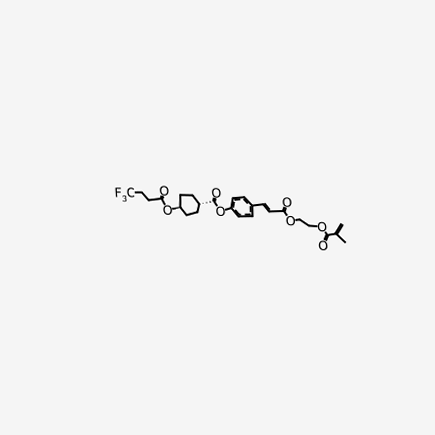 C=C(C)C(=O)OCCOC(=O)/C=C/c1ccc(OC(=O)[C@H]2CC[C@H](OC(=O)CCC(F)(F)F)CC2)cc1